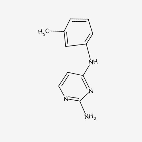 Cc1cccc(Nc2ccnc(N)n2)c1